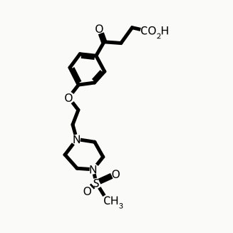 CS(=O)(=O)N1CCN(CCOc2ccc(C(=O)CCC(=O)O)cc2)CC1